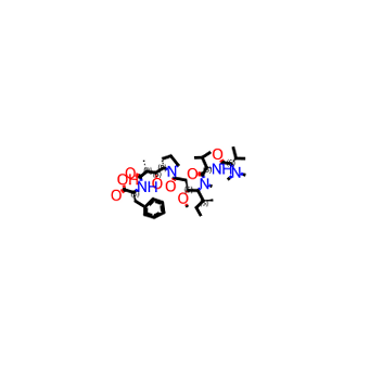 CC[C@H](C)C([C@H](CC(=O)N1CCC[C@H]1[C@@H](OC)[C@@H](C)C(=O)N[C@@H](Cc1ccccc1)C(=O)O)OC)N(C)C(=O)[C@@H](NC(=O)[C@H](C(C)C)N(C)C)C(C)C